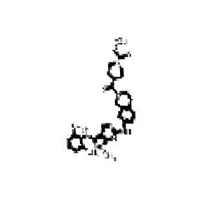 Cc1cccc(C)c1Nc1nn(C)c2nc(Nc3ccc4c(c3)CN(C(=S)C3CCN(C(=O)OC(C)(C)C)CC3)CC4)ncc12